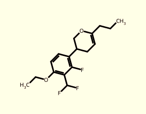 CCCC1=CCC(c2ccc(OCC)c(C(F)F)c2F)CO1